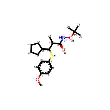 COc1ccc(SC(C2CCCC2)C(C)C(=O)NOC(C)(C)C)cc1